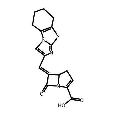 O=C(O)C1=CCC2/C(=C\c3cn4c5c(sc4n3)CCCC5)C(=O)N12